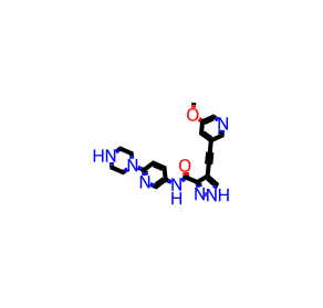 COc1cncc(C#Cc2c[nH]nc2C(=O)Nc2ccc(N3CCNCC3)nc2)c1